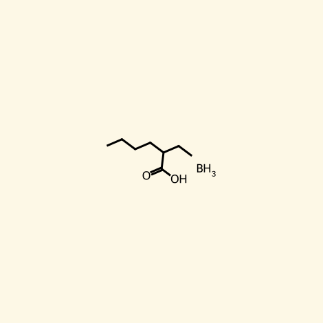 B.CCCCC(CC)C(=O)O